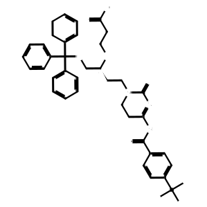 CC(C)(C)c1ccc(C(=O)NC2=NC(=O)N(CC[C@@H](COC(C3=CC=CCC3)(c3ccccc3)c3ccccc3)OCCC(=O)O)CC2)cc1